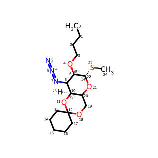 CCCCO[C@@H]1C(N=[N+]=[N-])[C@@H]2OC3(CCCCC3)OCC2O[C@H]1SC